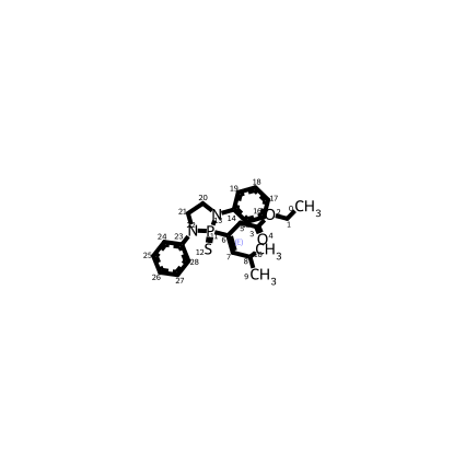 CCOC(=O)C/C(=C\C(C)C)P1(=S)N(c2ccccc2)CCN1c1ccccc1